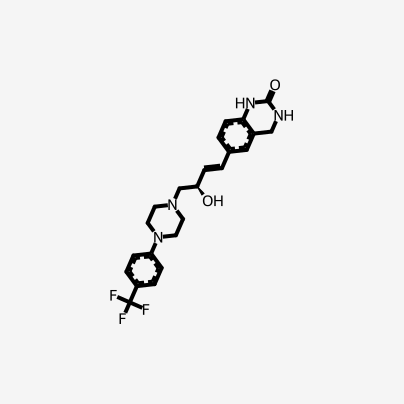 O=C1NCc2cc(/C=C/[C@@H](O)CN3CCN(c4ccc(C(F)(F)F)cc4)CC3)ccc2N1